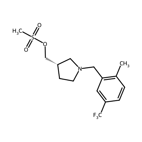 Cc1ccc(C(F)(F)F)cc1CN1CC[C@H](COS(C)(=O)=O)C1